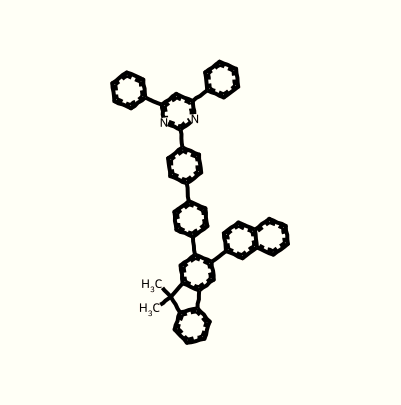 CC1(C)c2ccccc2-c2cc(-c3ccc4ccccc4c3)c(-c3ccc(-c4ccc(-c5nc(-c6ccccc6)cc(-c6ccccc6)n5)cc4)cc3)cc21